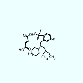 CCC(CC)CN(Cc1cc(F)ccc1C(F)(F)F)C1CCNCC1.O=C(O)/C=C/C(=O)O